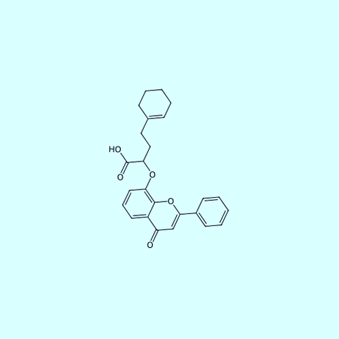 O=C(O)C(CCC1=CCCCC1)Oc1cccc2c(=O)cc(-c3ccccc3)oc12